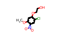 COc1cc(OCCO)c(Cl)cc1[N+](=O)[O-]